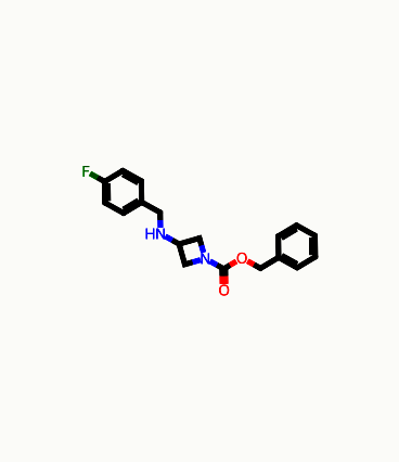 O=C(OCc1ccccc1)N1CC(NCc2ccc(F)cc2)C1